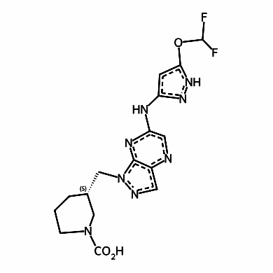 O=C(O)N1CCC[C@H](Cn2ncc3ncc(Nc4cc(OC(F)F)[nH]n4)nc32)C1